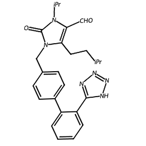 CC(C)CCc1c(C=O)n(C(C)C)c(=O)n1Cc1ccc(-c2ccccc2-c2nnn[nH]2)cc1